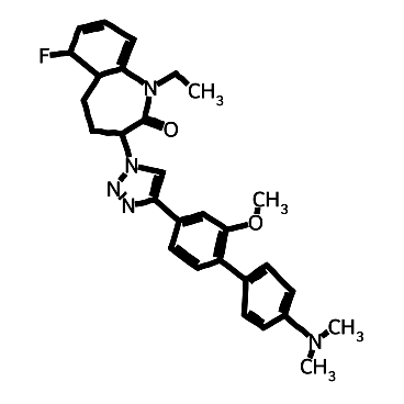 CCN1C(=O)C(n2cc(-c3ccc(-c4ccc(N(C)C)cc4)c(OC)c3)nn2)CCC2C1=CC=CC2F